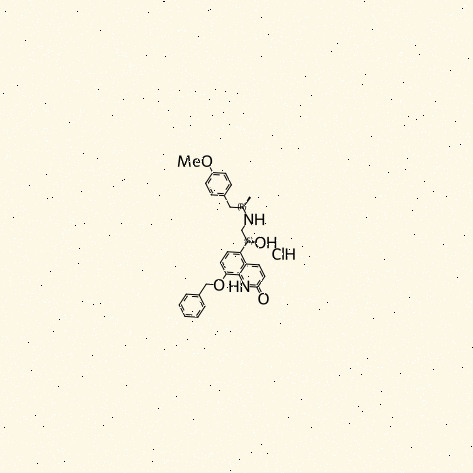 COc1ccc(C[C@@H](C)NC[C@@H](O)c2ccc(OCc3ccccc3)c3[nH]c(=O)ccc23)cc1.Cl